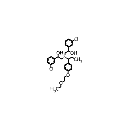 CCOCCOc1ccc(C(CC)N(CC(O)c2cccc(Cl)c2)CC(O)c2cccc(Cl)c2)cc1